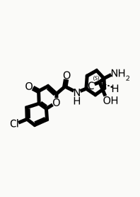 NC12CCC(NC(=O)c3cc(=O)c4cc(Cl)ccc4o3)(CC1)C[C@@H]2O